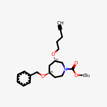 C#CCCCO[C@H]1C[C@H](OCc2ccccc2)CCN(C(=O)OC(C)(C)C)C1